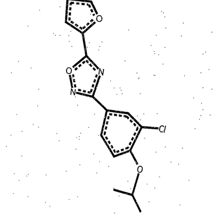 CC(C)Oc1ccc(-c2noc(-c3ccco3)n2)cc1Cl